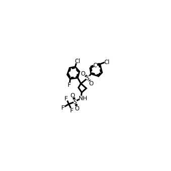 O=S(=O)(NC1CC(c2cc(Cl)ccc2F)(S(=O)(=O)c2ccc(Cl)cc2)C1)C(F)(F)F